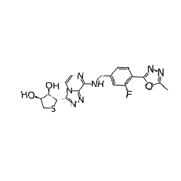 Cc1nnc(-c2ccc(CNc3nccn4c([C@@H]5SC[C@@H](O)[C@H]5O)nnc34)cc2F)o1